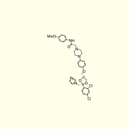 COc1ccc(NC(=O)CN2CCN(c3ccc(OC[C@@H]4CO[C@@](Cn5ccnc5)(c5ccc(Cl)cc5Cl)O4)cc3)CC2)cc1